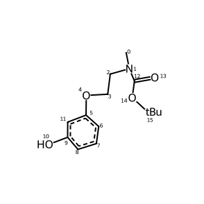 CN(CCOc1cccc(O)c1)C(=O)OC(C)(C)C